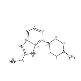 CN1CCN(c2cccc3nc(CO)[nH]c23)CC1